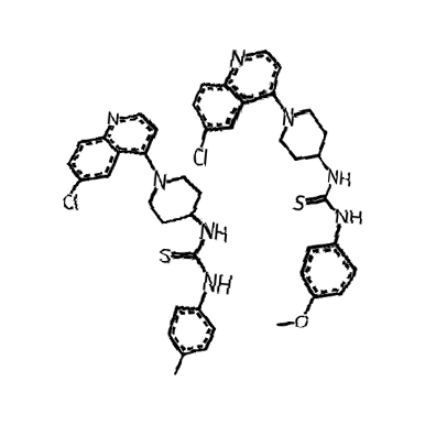 COc1ccc(NC(=S)NC2CCN(c3ccnc4ccc(Cl)cc34)CC2)cc1.Cc1ccc(NC(=S)NC2CCN(c3ccnc4ccc(Cl)cc34)CC2)cc1